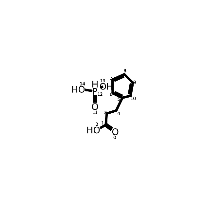 O=C(O)CCc1ccccc1.O=[PH](O)O